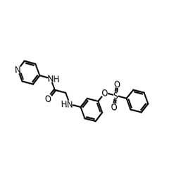 O=C(CNc1cccc(OS(=O)(=O)c2ccccc2)c1)Nc1ccncc1